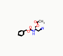 CC(=O)OC[C@@H](CC#N)NC(=O)OCc1ccccc1